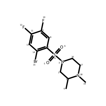 CC1CN(S(=O)(=O)c2cc(F)c(F)cc2Br)CCN1C